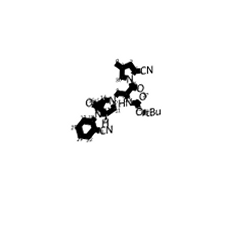 CC1CC(C#N)N(C(=O)C(CN2C[C@@H]3CC2C(=O)N3c2ccccc2C#N)NC(=O)OC(C)(C)C)C1